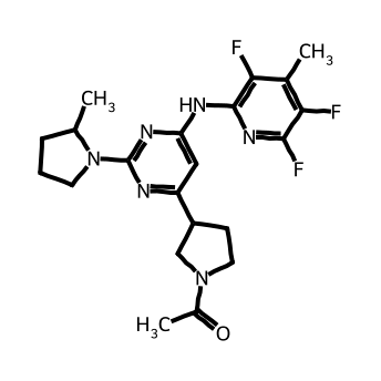 CC(=O)N1CCC(c2cc(Nc3nc(F)c(F)c(C)c3F)nc(N3CCCC3C)n2)C1